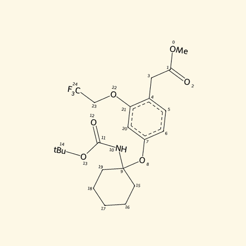 COC(=O)Cc1ccc(OC2(NC(=O)OC(C)(C)C)CCCCC2)cc1OCC(F)(F)F